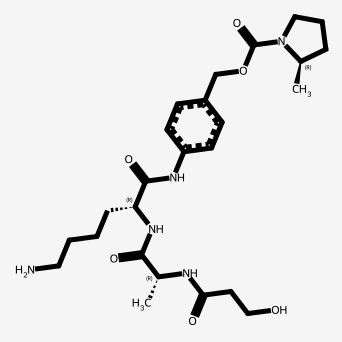 C[C@@H]1CCCN1C(=O)OCc1ccc(NC(=O)[C@@H](CCCCN)NC(=O)[C@@H](C)NC(=O)CCO)cc1